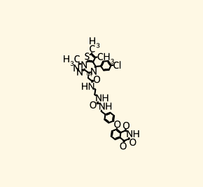 Cc1sc2c(c1C)C(c1ccc(Cl)cc1)=N[C@@H](CC(=O)NCCNC(=O)NCc1ccc(Oc3cccc4c3C(=O)NC(=O)C4=O)cc1)c1nnc(C)n1-2